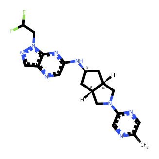 FC(F)Cn1ncc2ncc(N[C@H]3C[C@@H]4CN(c5cnc(C(F)(F)F)cn5)C[C@@H]4C3)nc21